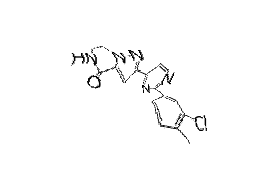 Cc1ccc(-c2nccc(-c3cc4n(n3)CCNC4=O)n2)cc1Cl